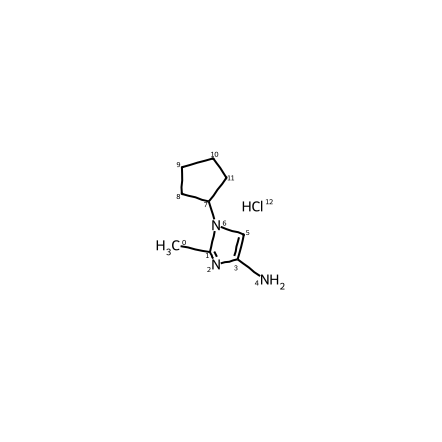 Cc1nc(N)cn1C1CCCC1.Cl